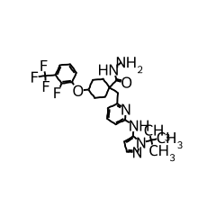 CC(C)(C)n1nccc1Nc1cccc(CC2(C(=O)NN)CCC(Oc3cccc(C(F)(F)F)c3F)CC2)n1